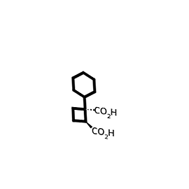 O=C(O)[C@H]1CC[C@@]1(C(=O)O)C1CCCCC1